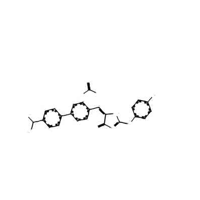 CC(=O)O.O=C1N=C(Nc2cc[c]([Na])cc2)S/C1=C/c1ccc(-c2ccc(C(F)F)cc2)cc1